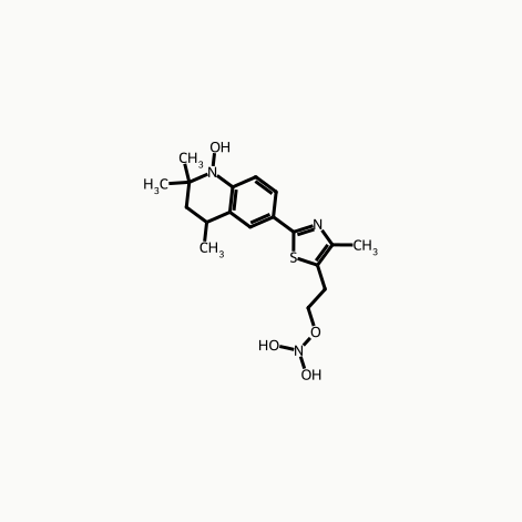 Cc1nc(-c2ccc3c(c2)C(C)CC(C)(C)N3O)sc1CCON(O)O